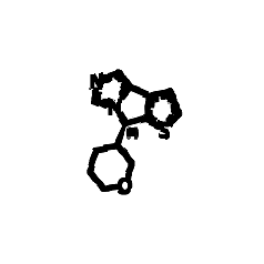 c1cc2c(s1)[C@@H](C1CCCOC1)n1cncc1-2